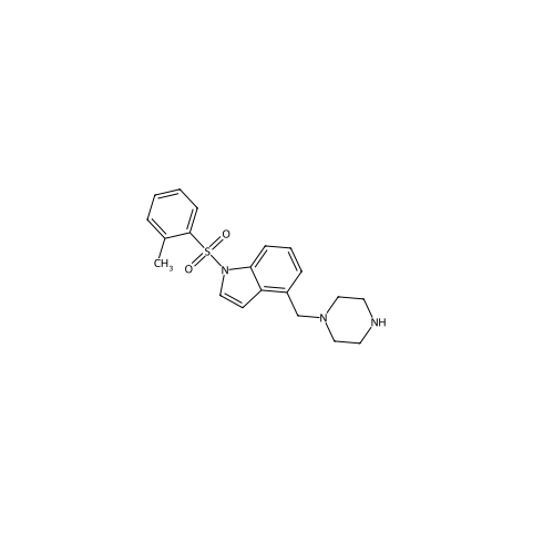 Cc1ccccc1S(=O)(=O)n1ccc2c(CN3CCNCC3)cccc21